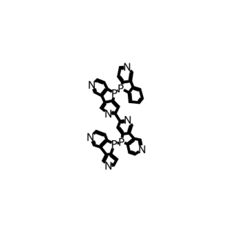 c1ccc2c(c1)c1cnccc1p2-p1c2ccncc2c2cnc(-c3cc4c(cn3)c3cnccc3p4-p3c4ccncc4c4cnccc43)cc21